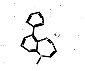 CN1C=CC=Nc2c(-c3ccccc3)cccc21.O